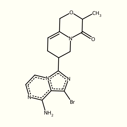 CC1OCC2=CCC(c3nc(Br)c4c(N)nccn34)CN2C1=O